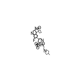 CC1CCN(CCCOc2ncc(-c3cc4c5c(cnc4cc3F)N(C)C(=O)C53CCC3)cc2NS(C)(=O)=O)CC1